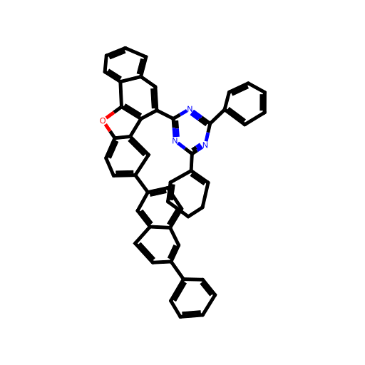 C1=CC(c2nc(-c3ccccc3)nc(-c3cc4ccccc4c4oc5ccc(-c6ccc7cc(-c8ccccc8)ccc7c6)cc5c34)n2)=CCC1